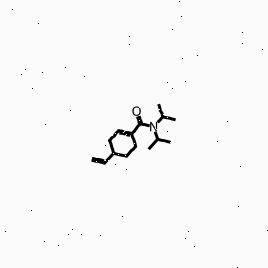 C=CC1CC=C(C(=O)N(C(C)C)C(C)C)CC1